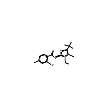 CCn1c(C)c(C(C)(C)C)s/c1=N\C(=O)c1ccc(C)cc1Br